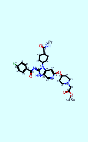 CC(C)NC(=O)C1CCC(n2/c(=N/C(=O)c3ccc(F)cc3)[nH]c3cnc(OC4CCN(CC(=O)OC(C)(C)C)CC4)cc32)CC1